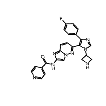 O=C(Nc1cn2nc(-c3c(-c4ccc(F)cc4)ncn3C3CNC3)ccc2n1)c1ccncc1